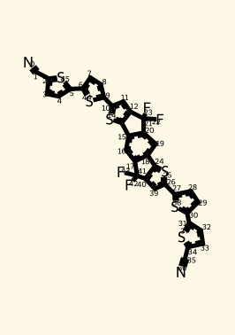 N#Cc1ccc(-c2ccc(-c3cc4c(s3)-c3cc5c(cc3C4(F)F)-c3sc(-c4ccc(-c6ccc(C#N)s6)s4)cc3C5(F)F)s2)s1